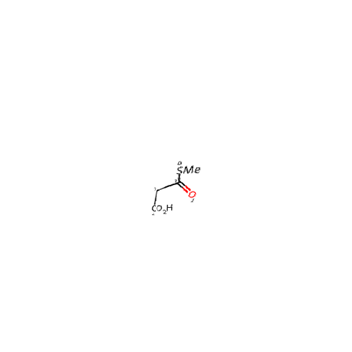 [CH2]SC(=O)CC(=O)O